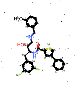 Cc1cccc(CNC[C@@H](O)[C@H](Cc2cc(F)cc(F)c2)NC(=O)c2cc(-c3ccccc3)cs2)c1